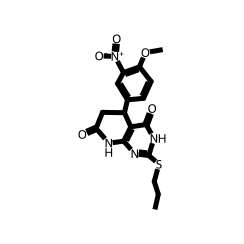 CCCSc1nc2c(c(=O)[nH]1)C(c1ccc(OC)c([N+](=O)[O-])c1)CC(=O)N2